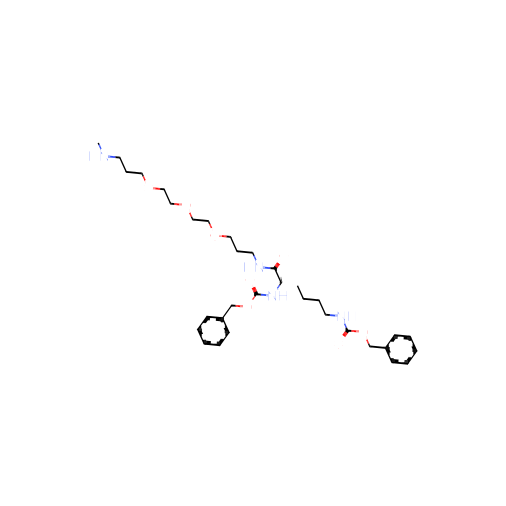 CNCCCOCCOCCOCCCNC(=O)[C@H](CCCCNC(=O)OCc1ccccc1)NC(=O)OCc1ccccc1